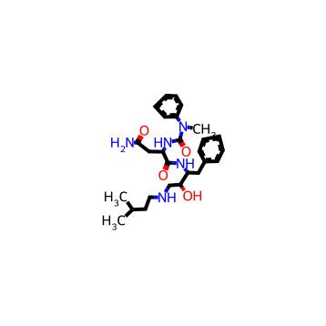 CC(C)CCNCC(O)C(Cc1ccccc1)NC(=O)C(CC(N)=O)NC(=O)N(C)c1ccccc1